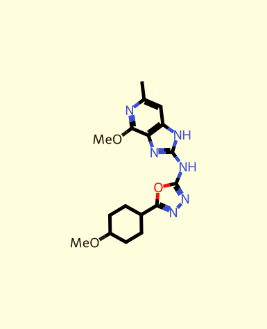 COc1nc(C)cc2[nH]c(Nc3nnc(C4CCC(OC)CC4)o3)nc12